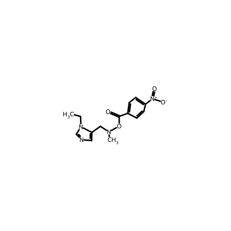 CCn1cncc1CN(C)OC(=O)c1ccc([N+](=O)[O-])cc1